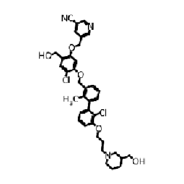 Cc1c(COc2cc(OCc3cncc(C#N)c3)c(CO)cc2Cl)cccc1-c1cccc(OCCCN2CCCC(CO)C2)c1Cl